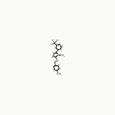 Cc1ccc(CSc2nnc(-c3cccc(C(F)(F)F)c3)n2C)cc1